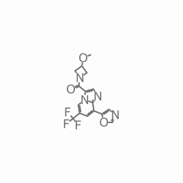 COC1CN(C(=O)c2cnc3c(-c4cnco4)cc(C(F)(F)F)cn23)C1